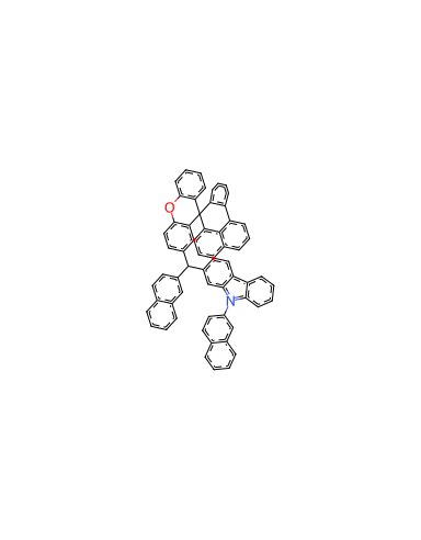 c1ccc2c(c1)Oc1ccc(C(c3ccc4ccccc4c3)c3ccc4c5ccccc5n(-c5ccc6ccccc6c5)c4c3)cc1C21c2ccccc2-c2cccc3cccc1c23